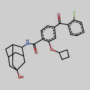 O=C(c1ccc(C(=O)NC2C3CC4CC2CC(O)(C4)C3)c(OC2CCC2)c1)c1ccccc1F